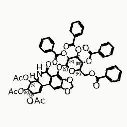 CC(=O)O[C@@H]1[C@H](OC(C)=O)[C@@H](OC(C)=O)C=C2c3cc4c(c(O[C@@H]5O[C@H](COC(=O)c6ccccc6)[C@@H](OC(=O)c6ccccc6)[C@H](OC(=O)c6ccccc6)[C@H]5OC(=O)c5ccccc5)c3C(=O)N[C@H]21)OCO4